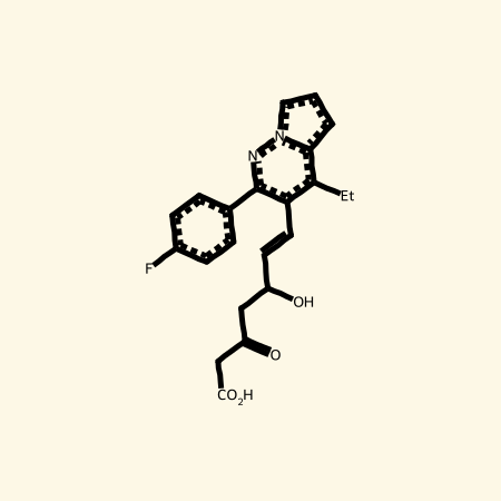 CCc1c(C=CC(O)CC(=O)CC(=O)O)c(-c2ccc(F)cc2)nn2cccc12